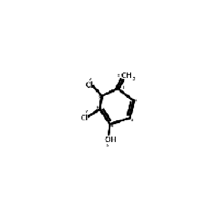 C=C1C=CC(O)=C(Cl)C1Cl